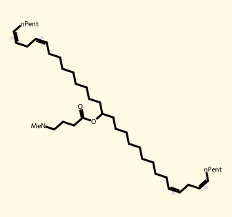 CCCCC/C=C\C/C=C\CCCCCCCCCC(CCCCCCCC/C=C\C/C=C\CCCCC)OC(=O)CCCNC